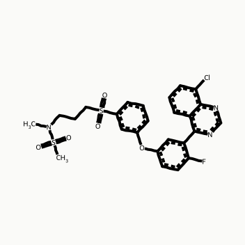 CN(CCCS(=O)(=O)c1cccc(Oc2ccc(F)c(-c3ncnc4c(Cl)cccc34)c2)c1)S(C)(=O)=O